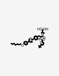 CCCCCCCOc1ccc(-c2cnc(-c3ccc(CC(NC(=O)c4ccc(C(C)(C)C)s4)C(=O)N4CC(C(O)O)C4)cc3)nc2)cc1